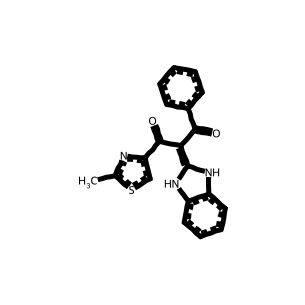 Cc1nc(C(=O)C(C(=O)c2ccccc2)=C2Nc3ccccc3N2)cs1